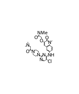 CNC(=O)COc1cc2cc(Nc3nc(N4CCN(C(=O)CN(C)C)CC4)ncc3Cl)ccc2n(C)c1=O